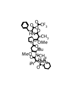 CC[C@H](C)[C@@H]([C@@H](CC(=O)N1CCC[C@H]1[C@H](OC)[C@@H](C)C(=O)N[C@@H](Cc1ccccc1)C(=O)OC(=O)C(F)(F)F)OC)N(C)C(=O)[C@@H](NC(=O)[C@@H]1CCCCN1C)C(C)C